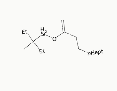 C=C(CCCCCCCCC)O[SiH2]C(C)(CC)CC